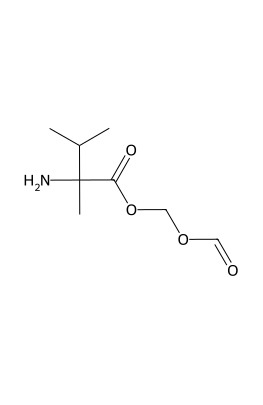 CC(C)C(C)(N)C(=O)OCOC=O